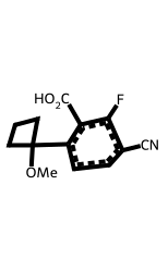 COC1(c2ccc(C#N)c(F)c2C(=O)O)CCC1